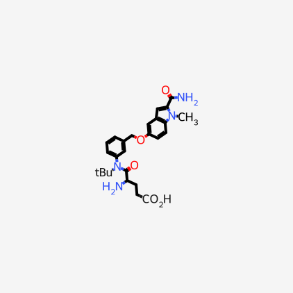 Cn1c(C(N)=O)cc2cc(OCc3cccc(N(C(=O)C(N)CCC(=O)O)C(C)(C)C)c3)ccc21